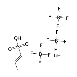 CC=CS(=O)(=O)O.F[B-](F)(F)F.F[B-](F)(F)F.F[B-](F)(F)F.[LiH]